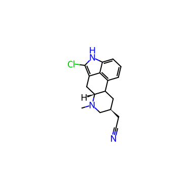 CN1C[C@H](CC#N)CC2c3cccc4[nH]c(Cl)c(c34)C[C@H]21